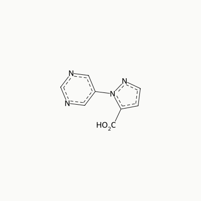 O=C(O)c1ccnn1-c1cncnc1